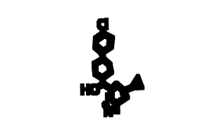 OC(c1cc(C2CC2)cc2cncn12)C1CCC(c2ccc(Cl)cc2)CC1